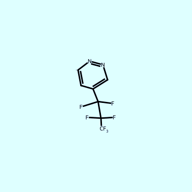 FC(F)(F)C(F)(F)C(F)(F)c1c[c]nnc1